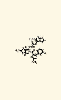 Cc1nc(C(=O)N2C[C@@H]3CC(C)C[C@@H]3[C@H]2CNC(=O)Oc2c(C)nc3sccn23)c(-c2cccc(F)c2)s1